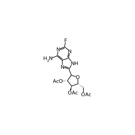 CC(=O)OC[C@H]1OC(c2nc3c(N)nc(F)nc3[nH]2)[C@@H](OC(C)=O)[C@@H]1OC(C)=O